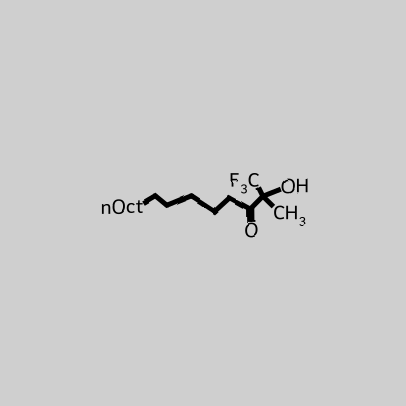 CCCCCCCCCCCCCC(=O)C(C)(O)C(F)(F)F